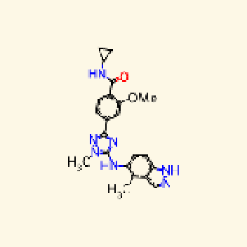 COc1cc(-c2nc(Nc3ccc4[nH]ncc4c3C)n(C)n2)ccc1C(=O)NC1CC1